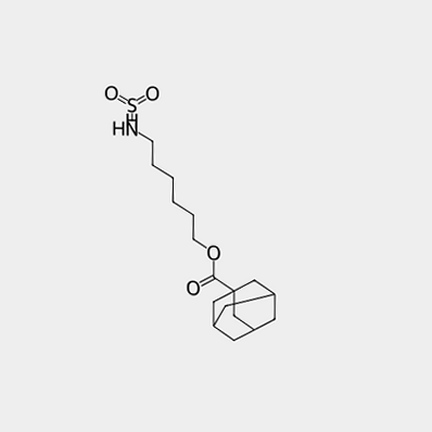 O=C(OCCCCCCN[SH](=O)=O)C12CC3CC(CC(C3)C1)C2